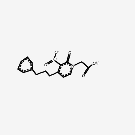 O=C(O)Cn1ccc(CCCc2ccccc2)c([N+](=O)[O-])c1=O